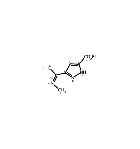 CCOC(=O)c1cc(/C(C)=N\C)n[nH]1